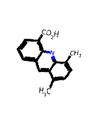 Cc1ccc(C)c2nc3c(C(=O)O)cccc3cc12